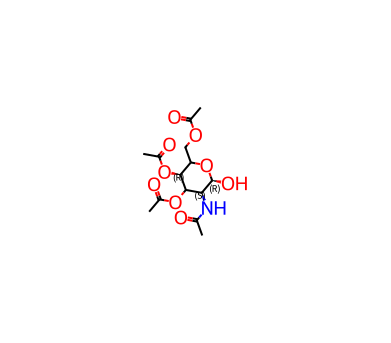 CC(=O)N[C@H]1C(OC(C)=O)[C@@H](OC(C)=O)C(COC(C)=O)O[C@H]1O